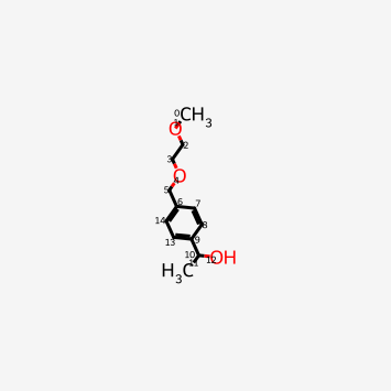 COCCOCc1ccc(C(C)O)cc1